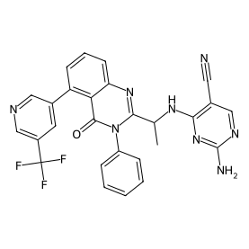 CC(Nc1nc(N)ncc1C#N)c1nc2cccc(-c3cncc(C(F)(F)F)c3)c2c(=O)n1-c1ccccc1